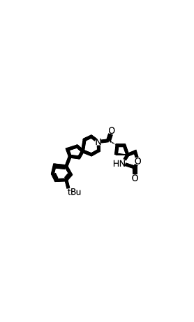 CC(C)(C)c1cccc(C2CCC3(CCN(C(=O)[C@H]4C[C@]5(COC(=O)N5)C4)CC3)C2)c1